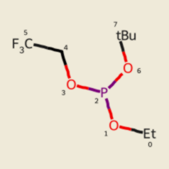 CCOP(OCC(F)(F)F)OC(C)(C)C